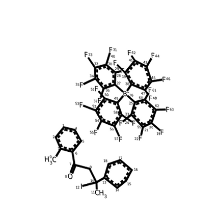 Cc1ccccc1C(=O)CC(C)(I)c1ccccc1.Fc1c(F)c(F)c([B-](c2c(F)c(F)c(F)c(F)c2F)(c2c(F)c(F)c(F)c(F)c2F)c2c(F)c(F)c(F)c(F)c2F)c(F)c1F